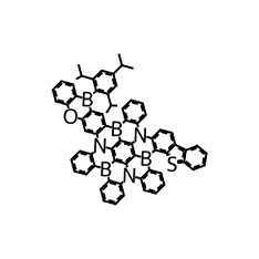 CC(C)c1cc(C(C)C)c(B2c3ccccc3Oc3cc4c(cc32)B2c3ccccc3N3c5ccc6c(sc7ccccc76)c5B5c6ccccc6N6c7ccccc7B7c8ccccc8N4c4c7c6c5c3c42)c(C(C)C)c1